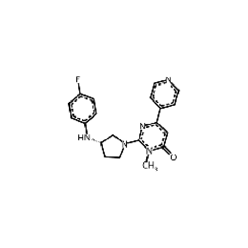 Cn1c(N2CC[C@H](Nc3ccc(F)cc3)C2)nc(-c2ccncc2)cc1=O